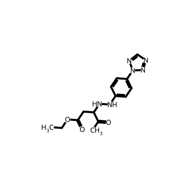 CCOC(=O)CC(NNc1ccc(-n2ncnn2)cc1)C(C)=O